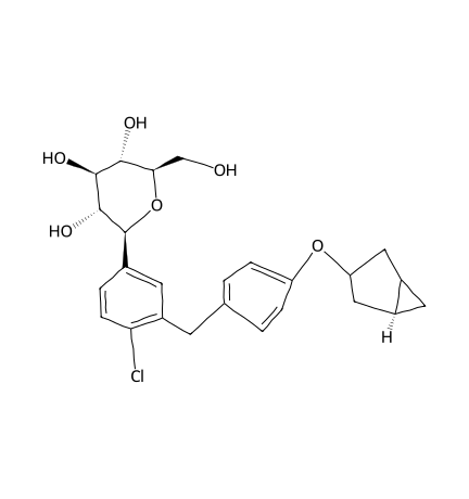 OC[C@H]1O[C@@H](c2ccc(Cl)c(Cc3ccc(OC4CC5C[C@H]5C4)cc3)c2)[C@H](O)[C@@H](O)[C@@H]1O